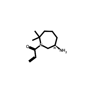 C=CC(=O)N1C[C@H](N)CCCC1(C)C